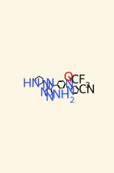 N#Cc1ccnc(N(C(=O)C(F)(F)F)c2ccc(-c3nn(C4CCCNC4)c4ncnc(N)c34)cc2)c1